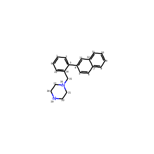 c1ccc(-c2ccc3ccccc3c2)c(CN2CC[N]CC2)c1